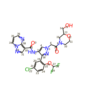 O=C(Nc1cn(CC(=O)N2CCOC(CO)C2)nc1-c1cc(Cl)ccc1OC(F)F)c1cnn2cccnc12